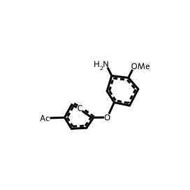 COc1ccc(Oc2ccc(C(C)=O)cc2)cc1N